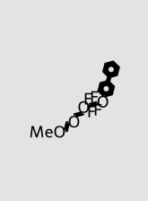 COCCOCCOC(F)(F)C(F)(F)Oc1ccc(-c2ccccc2)cc1